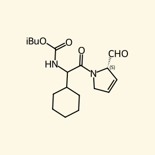 CC(C)COC(=O)NC(C(=O)N1CC=C[C@H]1C=O)C1CCCCC1